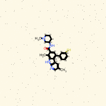 Cc1cnc2[nH]c3c(C)c(C(=O)NC4CCCN(C)C4)cc(-c4cccc(S)c4)c3c2c1